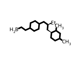 BCCC1CCC(C[C@@H](CC)C[C@@H]2CCC(C)CC2C)CC1